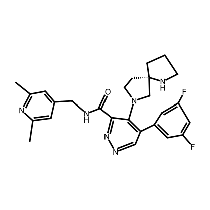 Cc1cc(CNC(=O)c2nncc(-c3cc(F)cc(F)c3)c2N2CC[C@@]3(CCCN3)C2)cc(C)n1